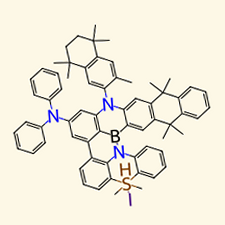 Cc1cc2c(cc1N1c3cc4c(cc3B3c5c(cc(N(c6ccccc6)c6ccccc6)cc51)-c1cccc5c1N3c1ccccc1[SH]5(C)(C)I)C(C)(C)c1ccccc1C4(C)C)C(C)(C)CCC2(C)C